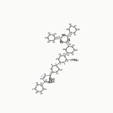 N#Cc1cc(-c2ccc(C(=N)/C=C\C(=N)c3ccccc3)cc2)ccc1-c1cccc(-c2nc(-c3ccccc3)nc(-c3ccccc3)n2)c1